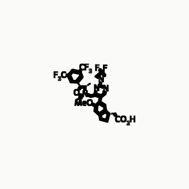 COc1cc2c(cc1-c1cnc(N3CC(F)(F)C3)nc1CN1C(=O)O[C@H](c3cc(C(F)(F)F)cc(C(F)(F)F)c3)[C@@H]1C)[C@H](CC(=O)O)CC2